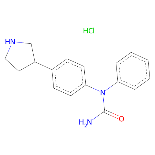 Cl.NC(=O)N(c1ccccc1)c1ccc(C2CCNC2)cc1